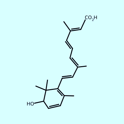 CC(C=CC1=C(C)C=CC(O)C1(C)C)=CC=CC(C)=CC(=O)O